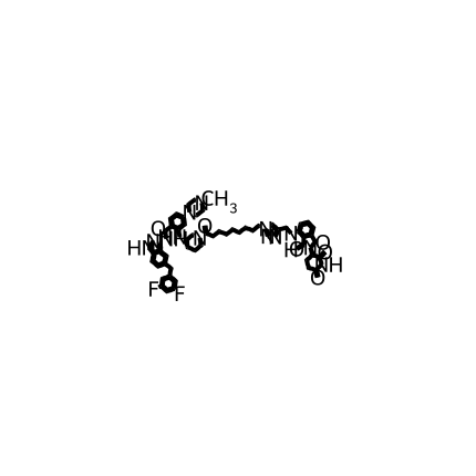 CN1CCN(c2ccc(C(=O)Nc3n[nH]c4ccc(Cc5cc(F)cc(F)c5)cc34)c(NC3CCCN(C(=O)CCCCCCCCn4cc(CNc5cccc6c5C(=O)N(C5CCC(=O)NC5=O)C6=O)nn4)C3)c2)CC1